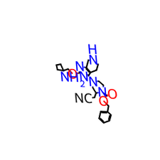 N#CCC1CN(c2nc(OCC3(N)CCC3)nc3c2CCNC3)CCN1C(=O)OCc1ccccc1